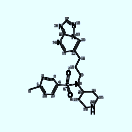 Cc1ccc(S(=O)(=O)N(CCCc2cnc3ncnn3c2)C2CCNCC2)cc1